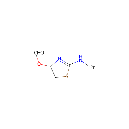 CC(C)NC1=NC(OC=O)CS1